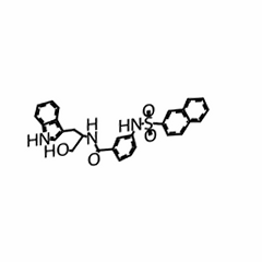 O=C(NC(CO)Cc1c[nH]c2ccccc12)c1cccc(NS(=O)(=O)c2ccc3ccccc3c2)c1